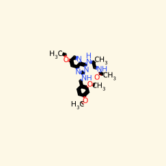 CCOc1cnc2c(NC(C)CNC(C)=O)nc(NCc3ccc(OC)cc3OC)nc2c1